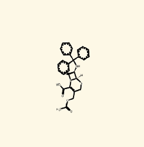 CC(=O)OCC1=C(C(=O)O)N2C(=O)[C@@H](NC(c3ccccc3)(c3ccccc3)c3ccccc3)[C@H]2SC1